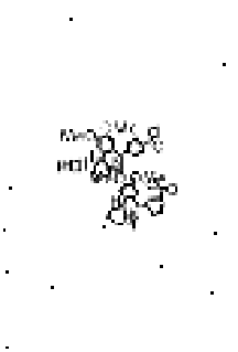 COc1cc2c(cc1OC)[C@H]1CCCC[C@H]1N=C2c1ccc(C(=O)Cl)cc1.COc1cc2c(cc1OC)[C@H]1CCCC[C@H]1N=C2c1cccc(C(=O)Cl)c1.Cl.Cl